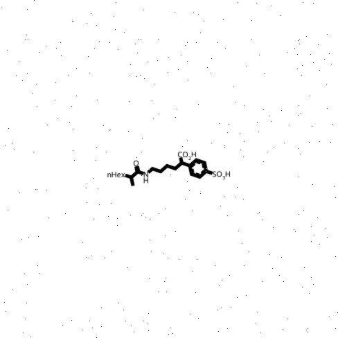 CCCCCCC(C)C(=O)NCCCCC(C(=O)O)c1ccc(S(=O)(=O)O)cc1